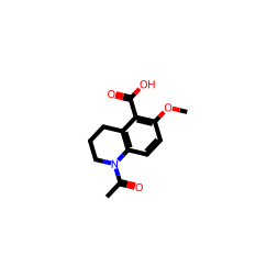 COc1ccc2c(c1C(=O)O)CCCN2C(C)=O